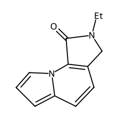 CCN1Cc2ccc3cccn3c2C1=O